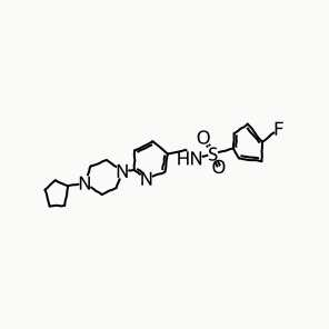 O=S(=O)(NCc1ccc(N2CCN(C3CCCC3)CC2)nc1)c1ccc(F)cc1